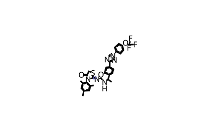 Cc1cc(C)c(N2C(=O)CS/C2=N\C(=O)NC(C)c2ccc(-c3ncn(-c4ccc(OC(F)(F)F)cc4)n3)cc2)c(C)c1